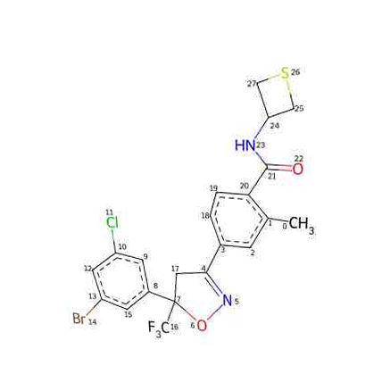 Cc1cc(C2=NOC(c3cc(Cl)cc(Br)c3)(C(F)(F)F)C2)ccc1C(=O)NC1CSC1